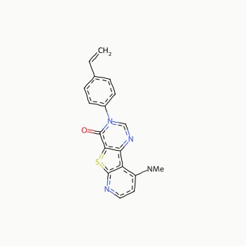 C=Cc1ccc(-n2cnc3c(sc4nccc(NC)c43)c2=O)cc1